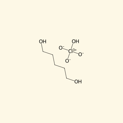 OCCCCCO.[O-][Cl+3]([O-])([O-])O